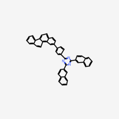 c1ccc2cc(-c3nc(-c4ccc(-c5ccc6ccc7c8ccccc8ccc7c6c5)cc4)nc(-c4ccc5ccccc5c4)n3)ccc2c1